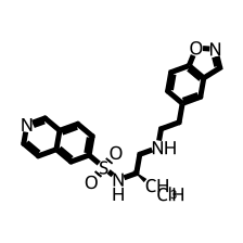 C[C@H](CNCCc1ccc2oncc2c1)NS(=O)(=O)c1ccc2cnccc2c1.Cl